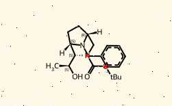 C[C@H](O)[C@@H]1[C@@H]2CC[C@H](CN1C(=O)OC(C)(C)C)N2Cc1ccccc1